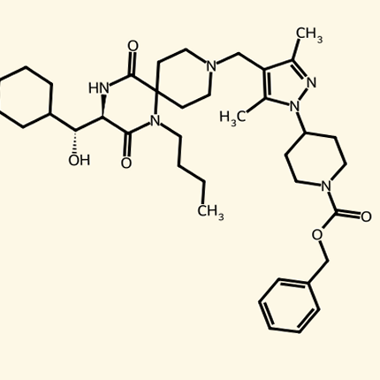 CCCCN1C(=O)[C@@H]([C@H](O)C2CCCCC2)NC(=O)C12CCN(Cc1c(C)nn(C3CCN(C(=O)OCc4ccccc4)CC3)c1C)CC2